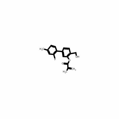 C=C(C)C(=O)Oc1cc(-c2ccc(C)cc2F)ccc1CO